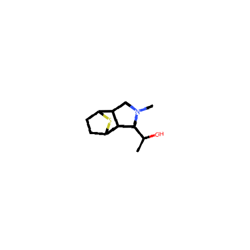 CC(O)C1C2C3CCC(S3)C2CN1C